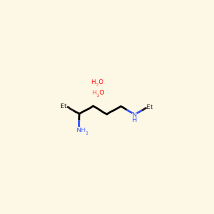 CCNCCCC(N)CC.O.O